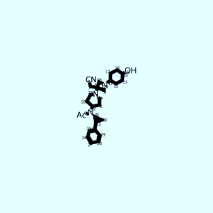 CC(=O)N(C1CCN(C2(CC#N)CN(C3CCC(O)CC3)C2)CC1)[C@@H]1CC1c1ccccc1